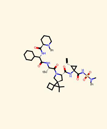 C=C[C@@H]1C[C@]1(NC(=O)[C@@H]1C[C@@]2(CN1C(=O)[C@@H](NC(=O)[C@@H](NC(=O)[C@H]1CCCCN1C(C)C)C1CCCCC1)C(C)(C)C)C(C)(C)C21CCC1)C(=O)NS(=O)(=O)N(C)C(C)C